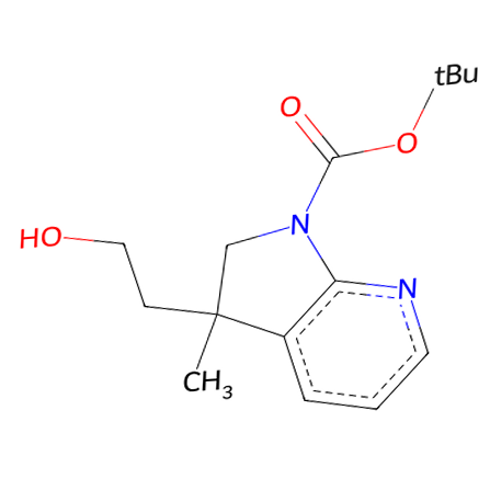 CC(C)(C)OC(=O)N1CC(C)(CCO)c2cccnc21